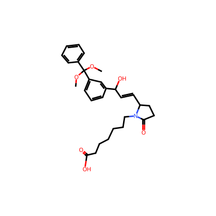 COC(OC)(c1ccccc1)c1cccc(C(O)C=CC2CCC(=O)N2CCCCCCC(=O)O)c1